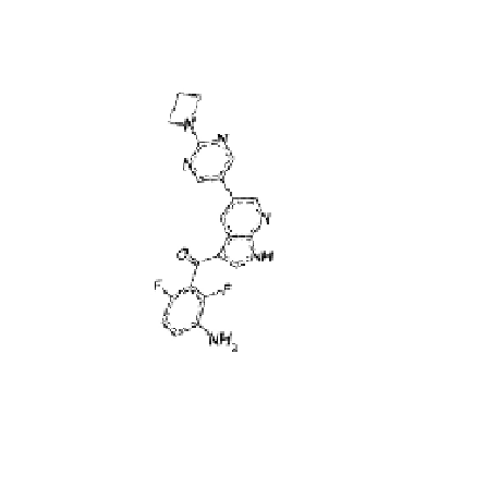 Nc1ccc(F)c(C(=O)c2c[nH]c3ncc(-c4cnc(N5CCC5)nc4)cc23)c1F